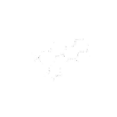 CC(=O)N1CC(C)(C)Oc2c(F)cccc2C1c1cnc2c(F)cccc2c1